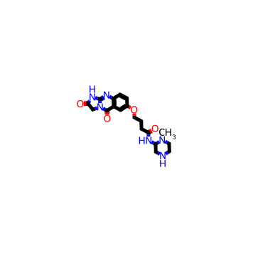 CN1CCNCC1NC(=O)CCCOc1ccc2nc3n(c(=O)c2c1)CC(=O)N3